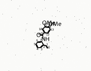 C=Cc1ccccc1NC(=O)c1ccc(OC)c(OC)c1